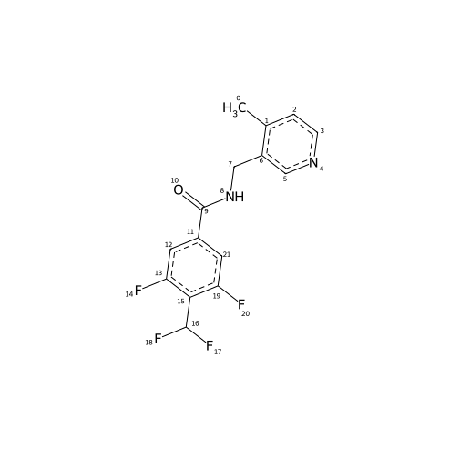 Cc1ccncc1CNC(=O)c1cc(F)c(C(F)F)c(F)c1